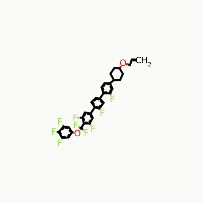 C=CCOC1CCC(c2ccc(-c3ccc(-c4cc(F)c(C(F)(F)Oc5cc(F)c(F)c(F)c5)c(F)c4)c(F)c3)c(F)c2)CC1